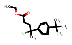 CCOC(=O)CCC(C)(Cl)c1ccc(C(C)(C)C)cc1